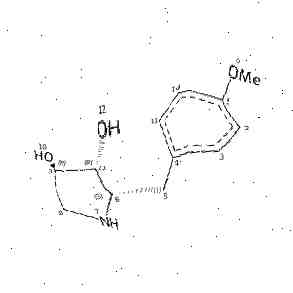 COc1ccc(C[C@@H]2NC[C@@H](O)[C@@H]2O)cc1